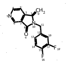 C=C1c2ccncc2C(=O)N1Cc1ccc(F)c(F)c1